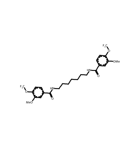 COc1cc(C(=O)NCCCCCCCNC(=O)c2ccc(OC(F)(F)F)c(OC)c2)ccc1OC(F)(F)F